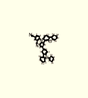 N#Cc1ccc(-n2c3ccc(-c4ccc5c(c4)c4ccccc4n5-c4ccccc4)cc3c3c4oc5ccccc5c4ccc32)c(C#N)c1